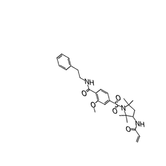 C=CC(=O)NC1CC(C)(C)N(S(=O)(=O)c2ccc(C(=O)NCCc3ccccc3)c(OC)c2)C1(C)C